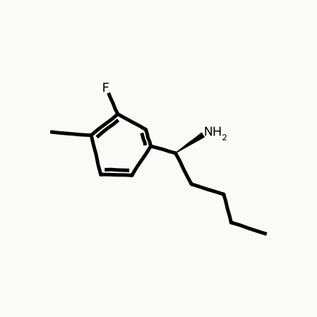 CCCC[C@H](N)c1ccc(C)c(F)c1